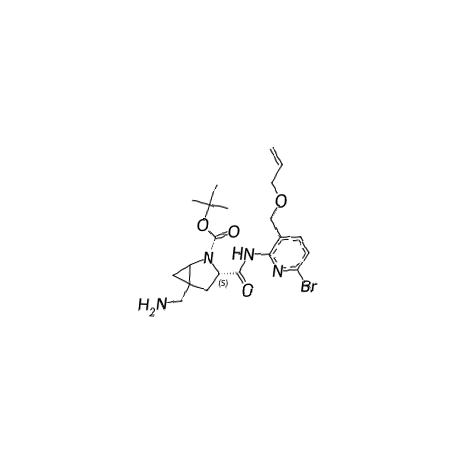 C=CCOCc1ccc(Br)nc1NC(=O)[C@@H]1CC2(CN)CC2N1C(=O)OC(C)(C)C